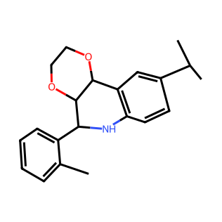 Cc1ccccc1C1Nc2ccc(C(C)C)cc2C2OCCOC12